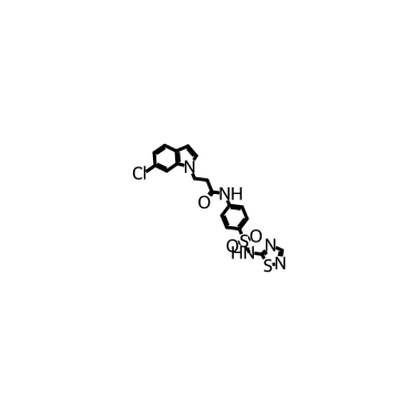 O=C(CCn1ccc2ccc(Cl)cc21)Nc1ccc(S(=O)(=O)Nc2ncns2)cc1